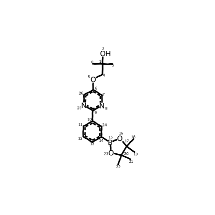 CC(C)(O)COc1cnc(-c2cccc(B3OC(C)(C)C(C)(C)O3)c2)nc1